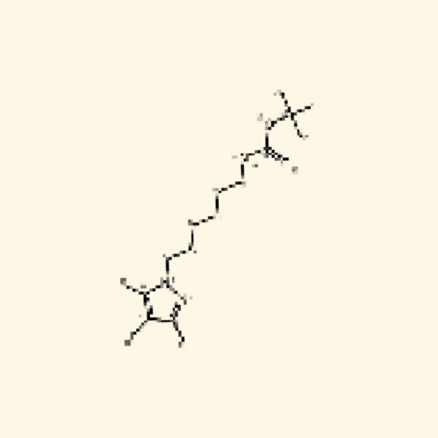 Cc1nn(CCCCCCNC(=O)OC(C)(C)C)c(C)c1I